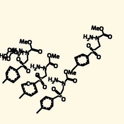 COC(=O)N(N)CS(=O)(=O)c1ccc(C)cc1.COC(=O)N(N)CS(=O)(=O)c1ccc(C)cc1.COC(=O)N(N)CS(=O)(=O)c1ccc(C)cc1.COC(=O)N(N)CS(=O)(=O)c1ccc(C)cc1.O=S(=O)(O)O.OO